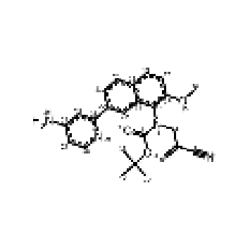 C=C(C#N)CN(C(=O)OC(C)(C)C)c1c(OC)ccc2ccc(-c3cc(N)ccn3)cc12